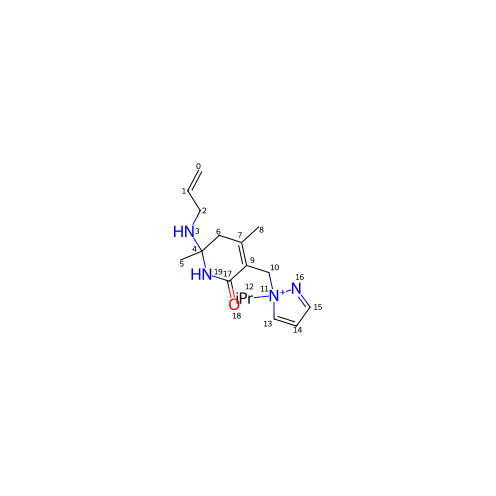 C=CCNC1(C)CC(C)=C(C[N+]2(C(C)C)C=CC=N2)C(=O)N1